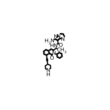 CC(NC(=O)c1c(N)nn2cccnc12)c1cc2cccc(C#CC3CCNCC3)c2c(=O)n1-c1ccccc1